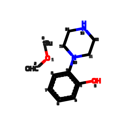 CC(C)(C)OC=O.Oc1ccccc1N1CCNCC1